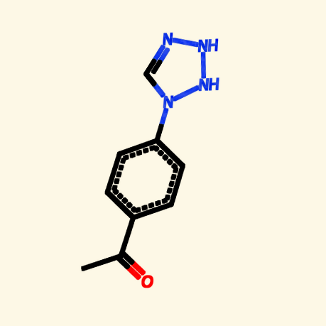 CC(=O)c1ccc(N2C=NNN2)cc1